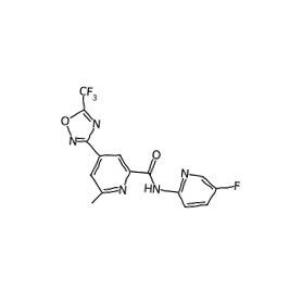 Cc1cc(-c2noc(C(F)(F)F)n2)cc(C(=O)Nc2ccc(F)cn2)n1